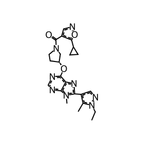 CCn1ncc(-c2nc3c(O[C@H]4CCN(C(=O)c5cnoc5C5CC5)C4)ncnc3n2C)c1C